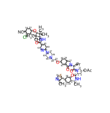 CC(=O)O[C@@H]1C[C@@H](C(=O)N[C@@H](C)c2ccc(-c3scnc3C)cc2)N(C(=O)[C@H](C(C)C)N2Cc3ccc(OCCN4CCN(c5ccc(C(=O)NC6C(C)(C)C(Oc7ccc(C#N)c(Cl)c7)C6(C)C)cn5)CC4)cc3C2=O)C1